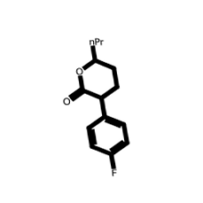 CCCC1CCC(c2ccc(F)cc2)C(=O)O1